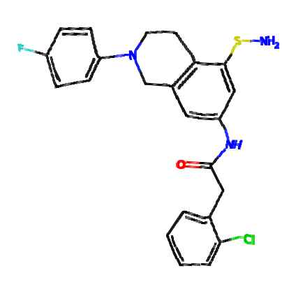 NSc1cc(NC(=O)Cc2ccccc2Cl)cc2c1CCN(c1ccc(F)cc1)C2